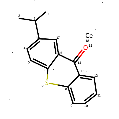 CC(C)c1ccc2sc3ccccc3c(=O)c2c1.[Ce]